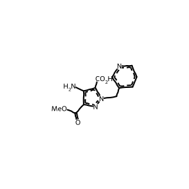 COC(=O)c1nn(Cc2cccnc2)c(C(=O)O)c1N